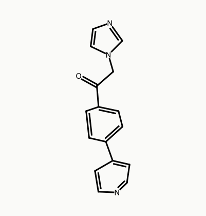 O=C(Cn1ccnc1)c1ccc(-c2ccncc2)cc1